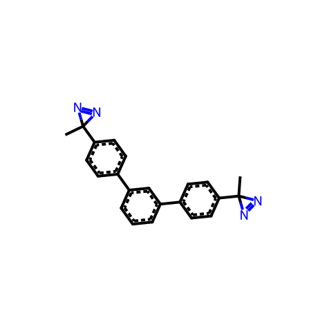 CC1(c2ccc(-c3cccc(-c4ccc(C5(C)N=N5)cc4)c3)cc2)N=N1